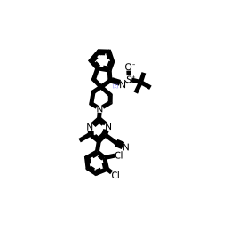 Cc1nc(N2CCC3(CC2)Cc2ccccc2/C3=N\[S+]([O-])C(C)(C)C)nc(C#N)c1-c1cccc(Cl)c1Cl